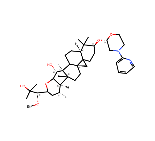 CCO[C@@H](C1C[C@@H](C)[C@H]2C(O1)[C@H](O)[C@@]1(C)C3CC[C@H]4C(C)(C)[C@@H](O[C@H]5CN(c6ccccn6)CCO5)CCC45C[C@@]35CC[C@]21C)C(C)(C)O